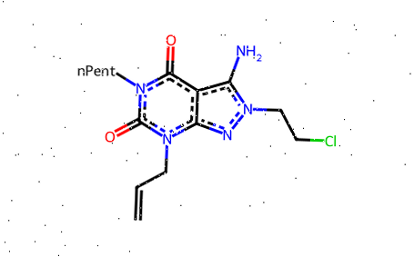 C=CCn1c(=O)n(CCCCC)c(=O)c2c(N)n(CCCl)nc21